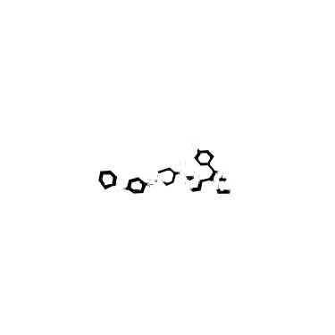 O=S(=O)(c1ccc(Oc2ccccc2)cc1)N1CCC(Nc2nccc(-c3c(C4C=CC(F)=CC4)nc4occn34)n2)CC1